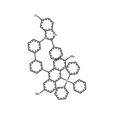 CCc1ccc2nc(-c3ccccc3)n(-c3cccc(-c4cccc(-c5c6cc(C(C)(C)C)ccc6c(S(c6ccccc6)(c6ccccc6)c6ccccc6)c6cc(C(C)(C)C)ccc56)c4)c3)c2c1